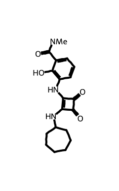 CNC(=O)c1cccc(Nc2c(NC3CCCCCC3)c(=O)c2=O)c1O